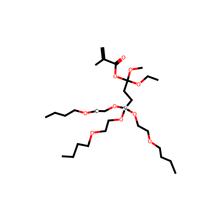 C=C(C)C(=O)OC(CC[Si](OCCOCCCC)(OCCOCCCC)OCCOCCCC)(OC)OCC